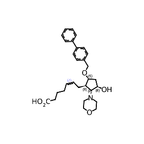 O=C(O)CCC/C=C\C[C@@H]1[C@@H](N2CCOCC2)[C@H](O)C[C@@H]1OCc1ccc(-c2ccccc2)cc1